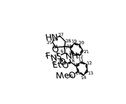 CCN(F)S(=O)(=O)C(NC(=O)c1ccccc1OC)C1(c2ccccc2)CCNCC1